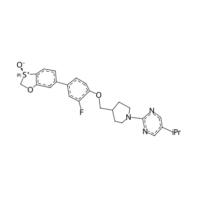 CC(C)c1cnc(N2CCC(COc3ccc(-c4ccc5c(c4)OC[S@@+]5[O-])cc3F)CC2)nc1